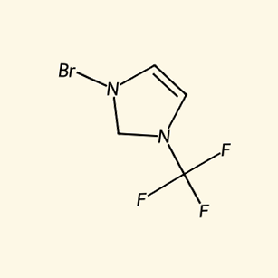 FC(F)(F)N1C=CN(Br)C1